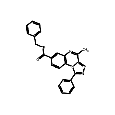 Cc1nc2cc(C(=O)NCc3ccccc3)ccc2n2c(-c3ccccc3)nnc12